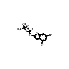 CC(C)(C)OC(=O)Nc1nc2c(Br)cc(Br)cc2s1